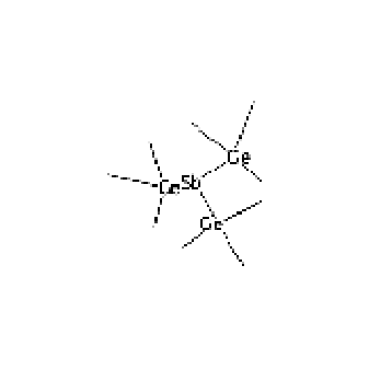 [CH3][Ge]([CH3])([CH3])[Sb]([Ge]([CH3])([CH3])[CH3])[Ge]([CH3])([CH3])[CH3]